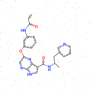 C=CC(=O)Nc1cccc(Oc2cnc3[nH]cc(C(=O)NC(C)Cc4cccnc4)c3n2)c1